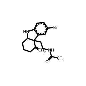 C=C1CCCC2Nc3ccc(Br)cc3C12CCNC(=O)C(F)(F)F